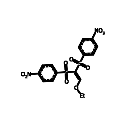 CCOC=C(S(=O)(=O)c1ccc([N+](=O)[O-])cc1)S(=O)(=O)c1ccc([N+](=O)[O-])cc1